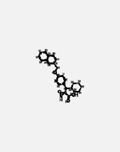 O=C(O)C1(C(c2ccc(OCc3ccc4ccccc4n3)nc2)C2CCCCC2)NO1